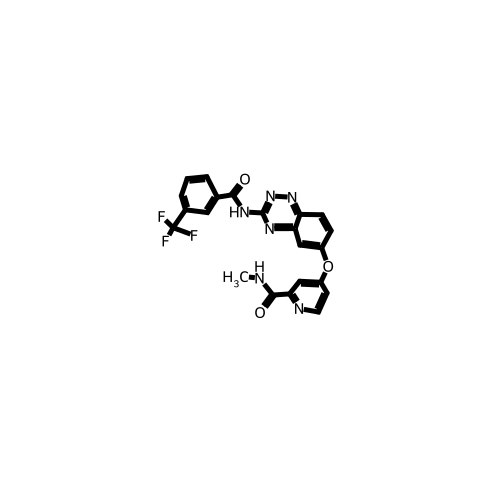 CNC(=O)c1cc(Oc2ccc3nnc(NC(=O)c4cccc(C(F)(F)F)c4)nc3c2)ccn1